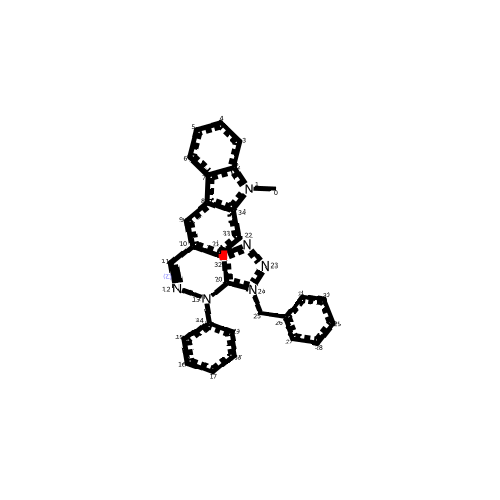 Cn1c2ccccc2c2cc(/C=N\N(c3ccccc3)c3nnnn3Cc3ccccc3)ccc21